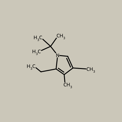 CCc1c(C)c(C)cn1C(C)(C)C